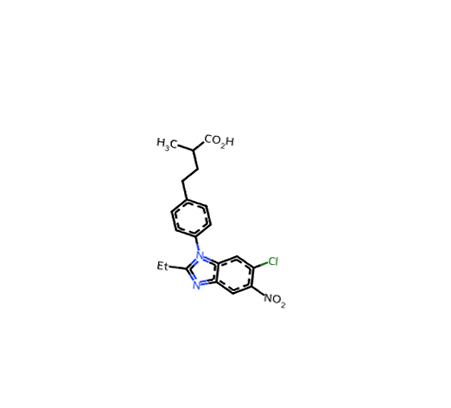 CCc1nc2cc([N+](=O)[O-])c(Cl)cc2n1-c1ccc(CCC(C)C(=O)O)cc1